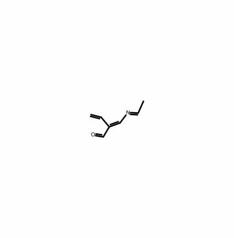 C=C/C(C=O)=C\N=C\C